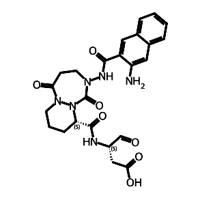 Nc1cc2ccccc2cc1C(=O)NN1CCC(=O)N2CCC[C@@H](C(=O)N[C@H](C=O)CC(=O)O)N2C1=O